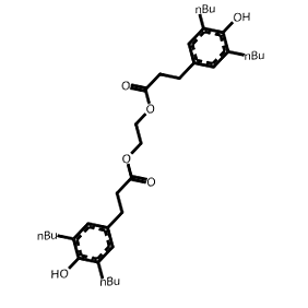 CCCCc1cc(CCC(=O)OCCOC(=O)CCc2cc(CCCC)c(O)c(CCCC)c2)cc(CCCC)c1O